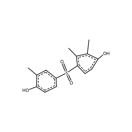 Cc1cc(S(=O)(=O)c2ccc(O)c(C)c2C)ccc1O